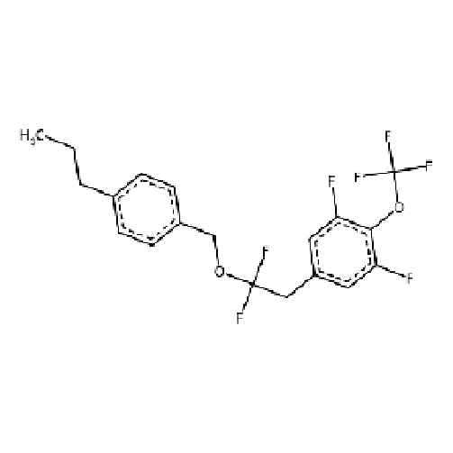 CCCc1ccc(COC(F)(F)Cc2cc(F)c(OC(F)(F)F)c(F)c2)cc1